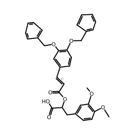 COc1ccc(CC(OC(=O)/C=C/c2ccc(OCc3ccccc3)c(OCc3ccccc3)c2)C(=O)O)cc1OC